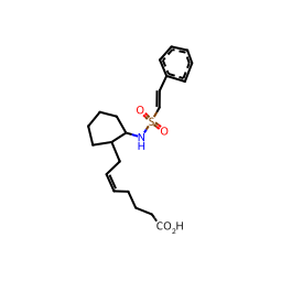 O=C(O)CCC/C=C\CC1CCCCC1NS(=O)(=O)C=Cc1ccccc1